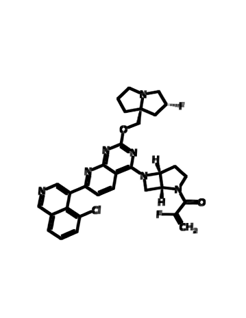 C=C(F)C(=O)N1CC[C@@H]2[C@H]1CN2c1nc(OC[C@@]23CCCN2C[C@H](F)C3)nc2nc(-c3cncc4cccc(Cl)c34)ccc12